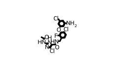 CC(=O)Nc1nc(Cl)c(C(=O)NCc2ccc(Cl)c(Oc3cc(N)cc(Cl)c3)c2F)[nH]1